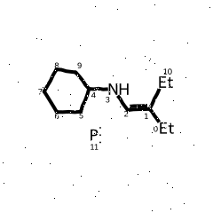 CCC(=CNC1CCCCC1)CC.[P]